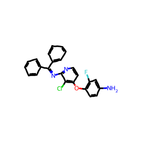 Nc1ccc(Oc2ccnc(N=C(c3ccccc3)c3ccccc3)c2Cl)c(F)c1